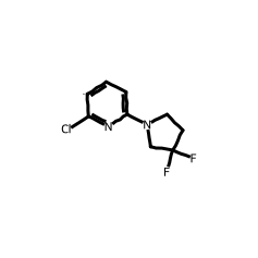 FC1(F)CCN(c2cc[c]c(Cl)n2)C1